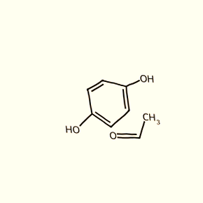 CC=O.Oc1ccc(O)cc1